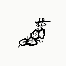 C[C@H]1CC[C@@]2(C)C(=CC[C@@H]3[C@@H]2CC[C@]2(C)C(B4OC(C)(C)C(C)(C)O4)=CC[C@@H]32)C1